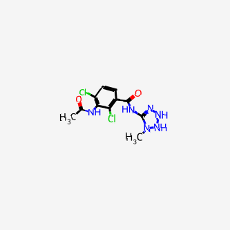 CC(=O)Nc1c(Cl)ccc(C(=O)NC2=NNNN2C)c1Cl